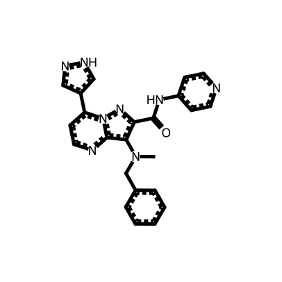 CN(Cc1ccccc1)c1c(C(=O)Nc2ccncc2)nn2c(-c3cn[nH]c3)ccnc12